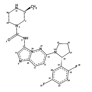 C[C@H]1CN(C(=O)Nc2cnc3ccc(N4CCC[C@@H]4c4cc(F)ccc4F)nn23)CCN1